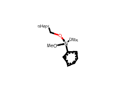 CCCCCCCCO[Si](OC)(OC)c1ccccc1